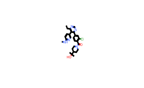 CCc1ncnc(-c2ccc(C(=O)N3CCC(C(C)(C)O)CC3)c(Cl)c2)c1-c1ccc(NC)nc1